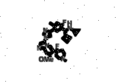 COc1cc2ncc(-n3cnc(-c4cc(C(NC5CC5)=C5CCC5)c(F)cc4C)c3)n2cc1C1(F)CCN(C)CC1